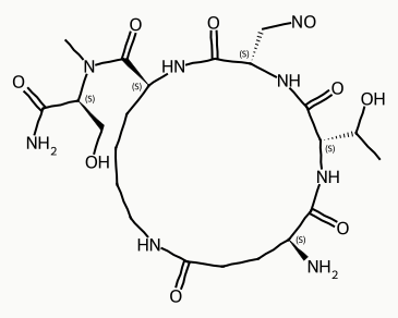 CC(O)[C@@H]1NC(=O)[C@@H](N)CCC(=O)NCCCC[C@@H](C(=O)N(C)[C@@H](CO)C(N)=O)NC(=O)[C@H](CN=O)NC1=O